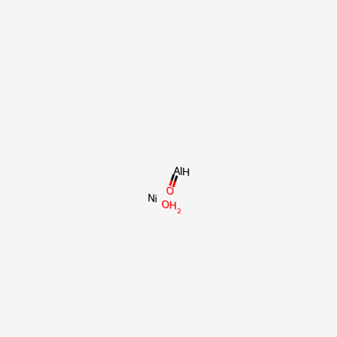 O.[Ni].[O]=[AlH]